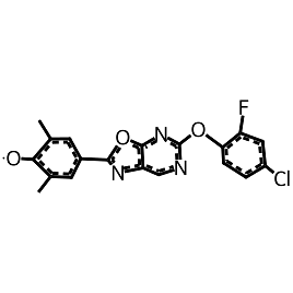 Cc1cc(-c2nc3cnc(Oc4ccc(Cl)cc4F)nc3o2)cc(C)c1[O]